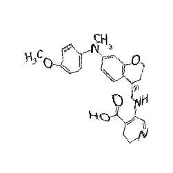 COc1ccc(N(C)c2ccc3c(c2)OCC[C@H]3CNC2=C(C(=O)O)CCN=C2)cc1